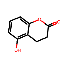 O=C1CCc2c(O)cccc2O1